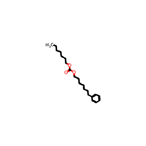 CCCCCCCOC(=O)OCCCCCCCc1ccccc1